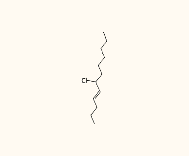 CCCC=CC(Cl)CCCCCC